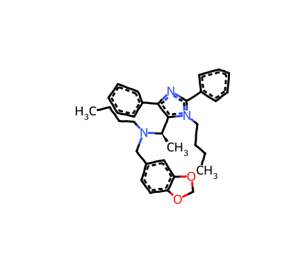 CCCCN(Cc1ccc2c(c1)OCO2)[C@H](C)c1c(-c2ccccc2)nc(-c2ccccc2)n1CCCC